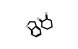 O=C1CCCCC1=O.c1ccc2c(c1)CCO2